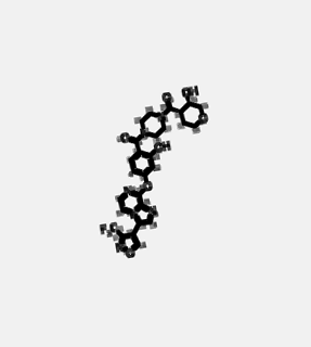 O=C(c1ccc(Oc2nccn3c(-c4conc4C(F)(F)F)cnc23)cc1O)N1CCN(C(=O)[C@@H]2CCOC[C@@H]2O)CC1